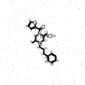 CC1CN(C(=O)c2ccco2)C(C)CN1CCCc1ccccc1.Cl